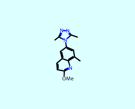 COc1ccc2cc(-n3c(C)nnc3C)cc(C)c2n1